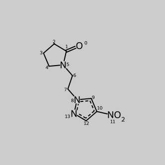 O=C1CCCN1CCn1cc([N+](=O)[O-])cn1